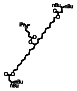 CCCCC(CCCC)CC(=O)OCCCCCCCCCCC(CCCCCCCCCCOC(=O)CC(CCCC)CCCC)OC(=O)CCCN(C)C(C)C